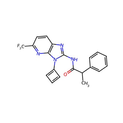 CC(C(=O)Nc1nc2ccc(C(F)(F)F)nc2n1C1=CC=C1)c1ccccc1